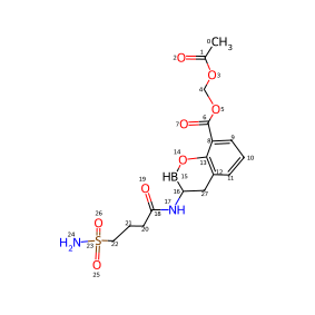 CC(=O)OCOC(=O)c1cccc2c1OBC(NC(=O)CCCS(N)(=O)=O)C2